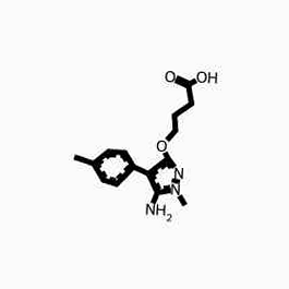 Cc1ccc(-c2c(OCCCC(=O)O)nn(C)c2N)cc1